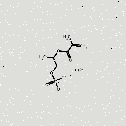 C=C(C)C(=O)OC(C)COP(=O)([O-])[O-].[Ca+2]